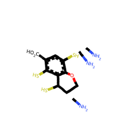 CN.CN.CN.O=C(O)c1cc(S)c2c(c1S)C(S)CCO2